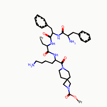 CC(C)CC(NC(=O)C(Cc1ccccc1)NC(=O)C(N)Cc1ccccc1)C(=O)NC(CCCCN)C(=O)N1CCC2(CC1)CN(C(=O)OC(C)C)C2